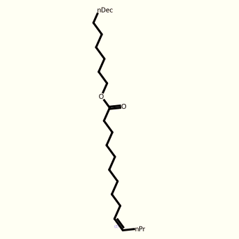 CCC/C=C\CCCCCCCCC(=O)OCCCCCCCCCCCCCCCC